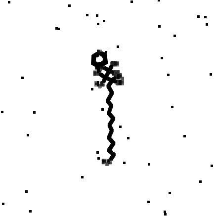 CCCCCCCCCCCCCC(C)(O)C(C)(Nc1ccncc1)C(C)(C)O